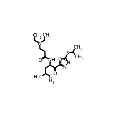 CCN(CC)CCC(=O)NC(CC(C)C)C(=O)c1nnc(SC(C)C)o1